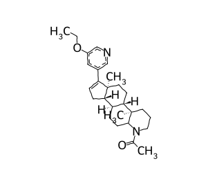 CCOc1cncc(C2=CC[C@H]3[C@@H]4CCC5N(C(C)=O)CCC[C@]5(C)[C@H]4CC[C@]23C)c1